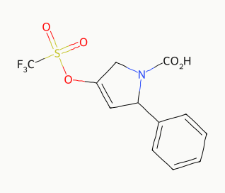 O=C(O)N1CC(OS(=O)(=O)C(F)(F)F)=CC1c1ccccc1